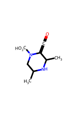 CC1CN(C(=O)O)C(=C=O)C(C)N1